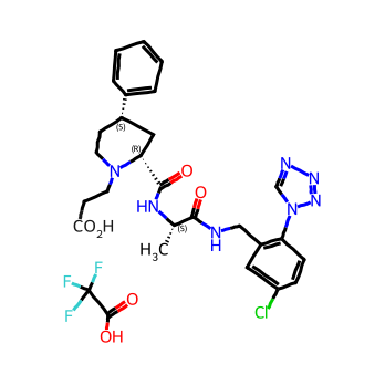 C[C@H](NC(=O)[C@H]1C[C@@H](c2ccccc2)CCN1CCC(=O)O)C(=O)NCc1cc(Cl)ccc1-n1cnnn1.O=C(O)C(F)(F)F